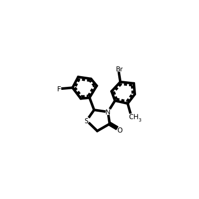 Cc1ccc(Br)cc1N1C(=O)CSC1c1cccc(F)c1